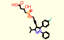 CC(C)c1nn(-c2ccccc2)c(-c2ccc(F)cc2)c1C#CCO[PH](=O)C[C@@H](O)CC(=O)O